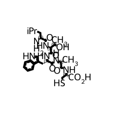 CC(C)C[C@H](N)C(=O)N[C@H](C(=O)N[C@@H](Cc1c[nH]c2ccccc12)C(=O)N[C@@H](C)C(=O)N[C@@H](CS)C(=O)O)[C@@H](C)O